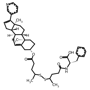 CC(CCC(=O)N[C@@H](Cc1ccccc1)C(=O)O)SSC(C)CCC(=O)O[C@H]1CC[C@@]2(C)C(=CC[C@@H]3[C@@H]2CC[C@]2(C)C(c4cccnc4)=CC[C@@H]32)C1